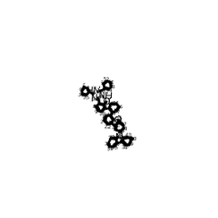 c1ccc(C2N=C(c3cccc4c3oc3cccc(-c5cccc6c5oc5ccc(-n7c8ccccc8c8ccccc87)cc56)c34)NC(c3ccccc3)N2)cc1